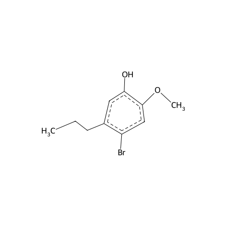 CCCc1cc(O)c(OC)cc1Br